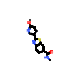 CNC(=O)c1ccc2nc(-c3ccc(OC)nc3)sc2c1